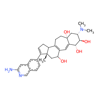 CN(C)[C@H]1C[C@]2(O)CCC3=C(C=C2[C@@H](O)[C@@H]1O)C(O)C[C@]1(C)C(c2ccc4cnc(N)cc4c2)=CCC31